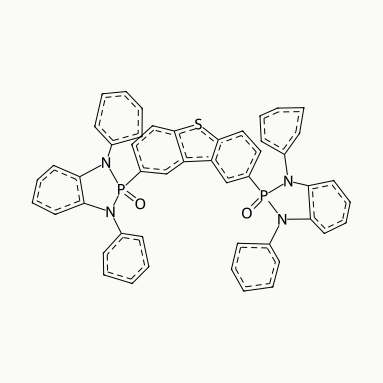 O=P1(c2ccc3sc4ccc(P5(=O)N(c6ccccc6)c6ccccc6N5c5ccccc5)cc4c3c2)N(c2ccccc2)c2ccccc2N1c1ccccc1